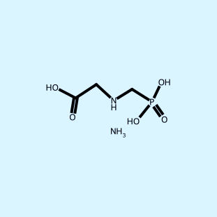 N.O=C(O)CNCP(=O)(O)O